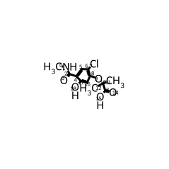 CNC(=O)c1cc(Cl)c(OC(C)(C)C(=O)O)cc1O